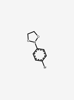 Brc1ccc(N2OCCO2)cc1